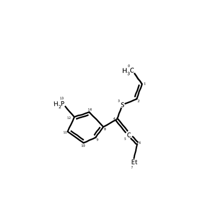 C/C=C\SC(=C=CCC)c1cccc(P)c1